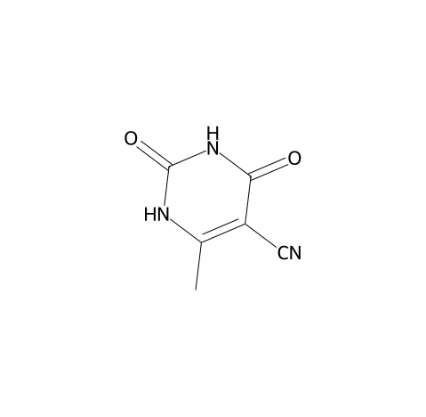 Cc1[nH]c(=O)[nH]c(=O)c1C#N